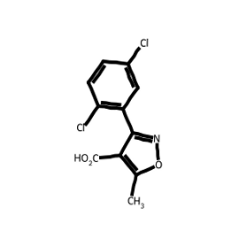 Cc1onc(-c2cc(Cl)ccc2Cl)c1C(=O)O